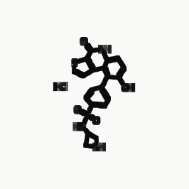 Cl.O=c1[nH]c2ccc(O)c(-c3ccc(S(=O)(=O)NC4CNC4)cc3)c2c2ccsc12